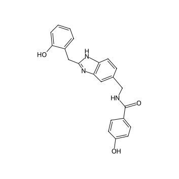 O=C(NCc1ccc2[nH]c(Cc3ccccc3O)nc2c1)c1ccc(O)cc1